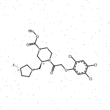 CC(C)(C)OC(=O)N1CCN(C(=O)COc2cc(Cl)c(Cl)cc2Cl)[C@@H](CN2CC[C@H](F)C2)C1